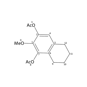 COc1c(OC(C)=O)cc2c(c1OC(C)=O)CCCC2